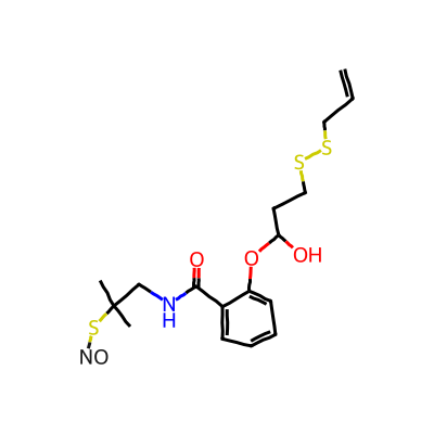 C=CCSSCCC(O)Oc1ccccc1C(=O)NCC(C)(C)SN=O